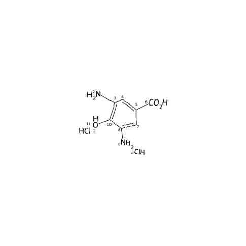 Cl.Cl.Nc1cc(C(=O)O)cc(N)c1O